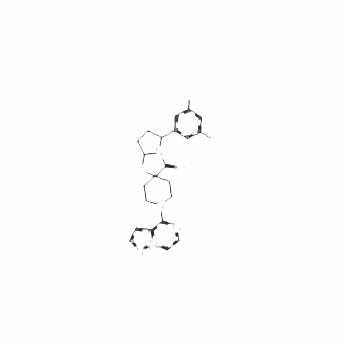 O=C1N2C(CCC2c2cc(F)cc(F)c2)OC12CCN(c1nccn3nccc13)CC2